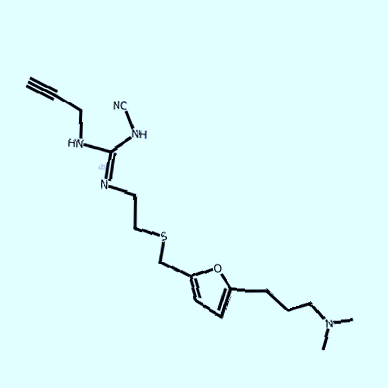 C#CCN/C(=N/CCSCc1ccc(CCCN(C)C)o1)NC#N